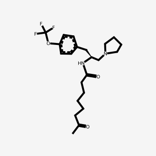 CC(=O)CCCCCC(=O)N[C@@H](Cc1ccc(OC(F)(F)F)cc1)CN1CCCC1